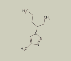 CCCC(CC)n1cc(C)nn1